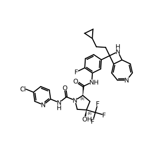 O=C(Nc1cc(C2(CCC3CC3)NC3C=CN=CC=C32)ccc1F)[C@H]1C[C@](O)(C(F)(F)F)CN1C(=O)Nc1ccc(Cl)cn1